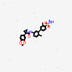 CNS(=O)(=O)c1ccc(-c2cc(NC(=O)C3(c4ccc5c(c4)OCO5)CC3)ccc2C)cc1C